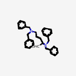 O=CC(CCCN(Cc1ccccc1)Cc1ccccc1)N(Cc1ccccc1)Cc1ccccc1